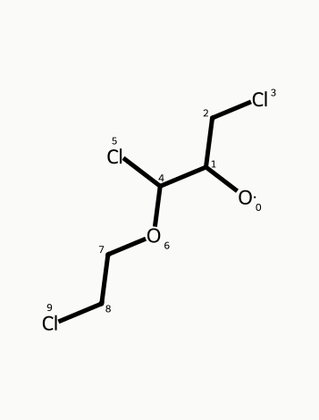 [O]C(CCl)C(Cl)OCCCl